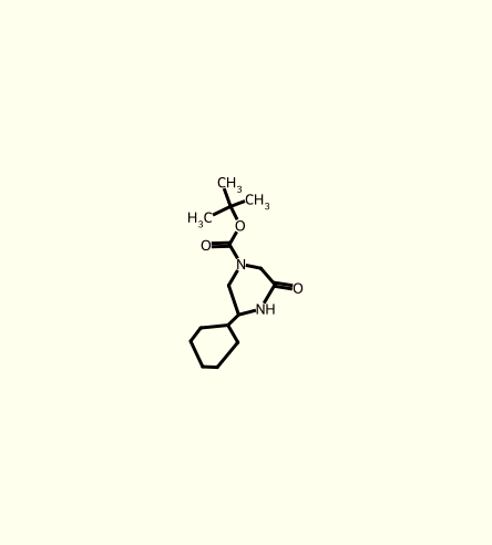 CC(C)(C)OC(=O)N1CC(=O)NC(C2CCCCC2)C1